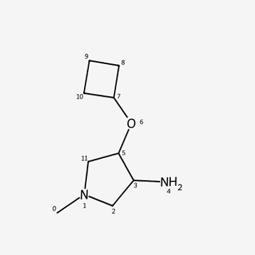 CN1CC(N)C(OC2CCC2)C1